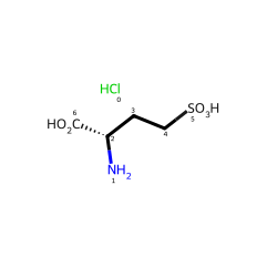 Cl.N[C@@H](CCS(=O)(=O)O)C(=O)O